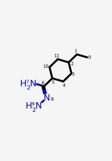 CCC1CCC(/C(N)=N/N)CC1